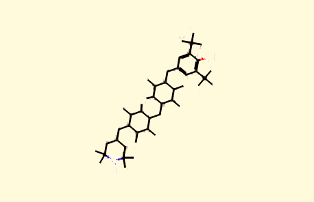 CC1C(C)C(CC2C(C)C(C)C(CC3CC(C)(C)NC(C)(C)C3)C(C)C2C)C(C)C(C)C1Cc1cc(C(C)(C)C)c(O)c(C(C)(C)C)c1